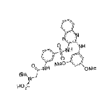 COc1cc(Nc2nc3ccccc3nc2NS(=O)(=O)c2cccc(NC(=O)CN(C(=O)O)C(C)(C)C)c2)cc(OC)c1